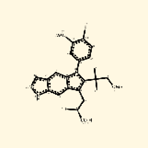 COCC(C)(C)c1c(C[C@H](F)C(=O)O)c2cc3[nH]ncc3cc2n1-c1ccc(F)c(OC)c1